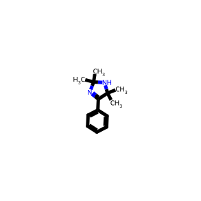 CC1(C)N=C(c2ccccc2)C(C)(C)N1